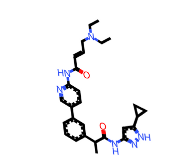 CCN(CC)C/C=C/C(=O)Nc1ccc(-c2cccc(C(C)C(=O)Nc3cc(C4CC4)[nH]n3)c2)cn1